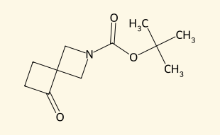 CC(C)(C)OC(=O)N1CC2(CCC2=O)C1